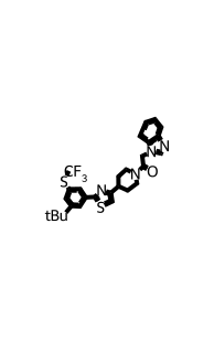 CC(C)(C)c1cc(SC(F)(F)F)cc(-c2nc(C3CCN(C(=O)Cn4cnc5ccccc54)CC3)cs2)c1